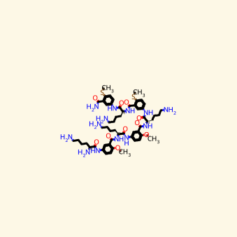 COc1ccc(NC(=O)[C@H](CCCCN)NC(=O)c2cc(NC(=O)[C@@H](N)CCCCN)ccc2OC)cc1C(=O)N[C@@H](CCCCN)C(=O)Nc1ccc(SC)c(C(=O)N[C@@H](CCCCN)C(=O)Nc2ccc(SC)c(C(N)=O)c2)c1